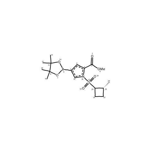 COC(=O)c1cc(B2OC(C)(C)C(C)(C)O2)cn1S(=O)(=O)C1CC[C@H]1C